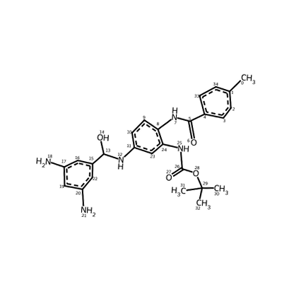 Cc1ccc(C(=O)Nc2ccc(NC(O)c3cc(N)cc(N)c3)cc2NC(=O)OC(C)(C)C)cc1